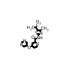 C=C(C)c1sc(NC(=O)c2cc(Oc3cncnc3)ccn2)nc1C